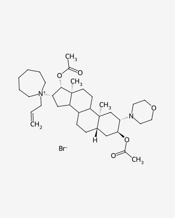 C=CC[N+]1([C@H]2CC3C4CC[C@H]5C[C@H](OC(C)=O)[C@@H](N6CCOCC6)C[C@]5(C)C4CC[C@]3(C)[C@H]2OC(C)=O)CCCCCC1.[Br-]